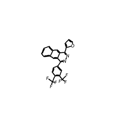 FC(F)(F)c1ccc(-c2nnc(-c3ccco3)c3cc4ccccc4cc23)cc1C(F)(F)F